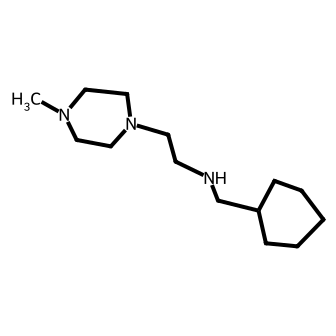 CN1CCN(CCNCC2CCCCC2)CC1